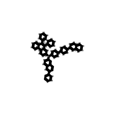 c1ccc(-c2ccc3cc(N(c4ccc(-c5ccc(-c6ccc7ccccc7c6)cc5)cc4)c4ccc5c(c4)c(-c4ccccc4)c(-c4ccccc4)c4ccccc45)ccc3c2)cc1